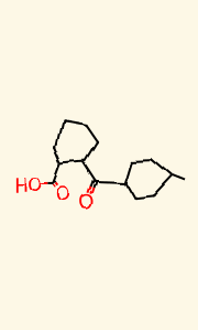 CC1CCC(C(=O)C2CCCCC2C(=O)O)CC1